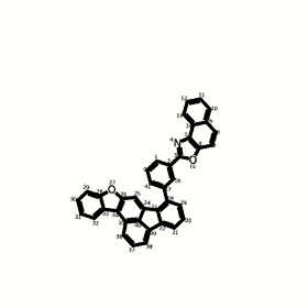 c1cc(-c2nc3c(ccc4ccccc43)o2)cc(-c2cccc3c2-c2cc4oc5ccccc5c4c4cccc-3c24)c1